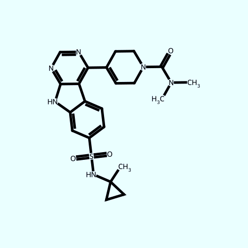 CN(C)C(=O)N1CC=C(c2ncnc3[nH]c4cc(S(=O)(=O)NC5(C)CC5)ccc4c23)CC1